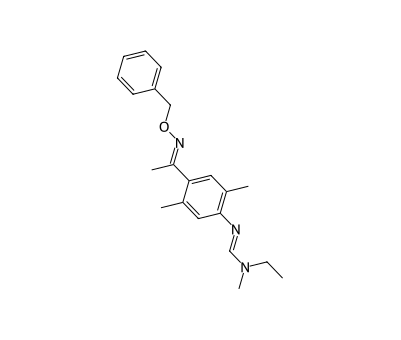 CCN(C)C=Nc1cc(C)c(/C(C)=N/OCc2ccccc2)cc1C